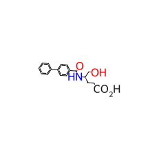 O=C(O)CC[C@H](CO)NC(=O)c1ccc(-c2ccccc2)cc1